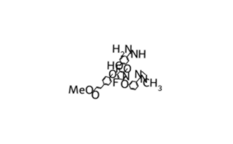 COC(=O)C=Cc1ccc(Oc2c(F)c(Oc3cccc(C4=NCCN4C)c3)nc(Oc3cc(C(=N)N)ccc3O)c2F)cc1